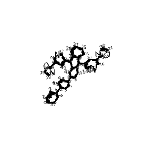 c1ccc(-c2ccc(-c3ccc4c(-c5cncc(-c6ncco6)c5)c5ccccc5c(-c5cncc(-c6ncco6)c5)c4c3)cc2)cc1